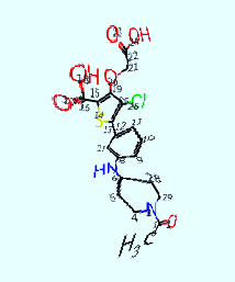 CC(=O)N1CCC(Nc2cccc(-c3sc(C(=O)O)c(OCC(=O)O)c3Cl)c2)CC1